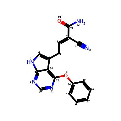 N#C/C(=C\Cc1c[nH]c2ncnc(Oc3ccccc3)c12)C(N)=O